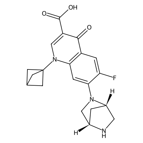 O=C(O)c1cn(C23CC(C2)C3)c2cc(N3C[C@@H]4C[C@H]3CN4)c(F)cc2c1=O